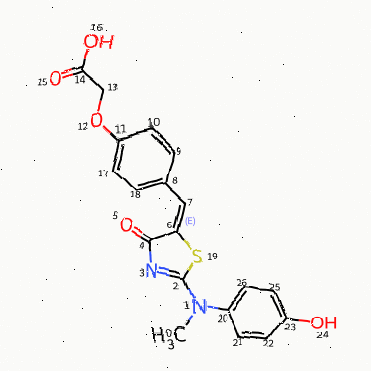 CN(C1=NC(=O)/C(=C\c2ccc(OCC(=O)O)cc2)S1)c1ccc(O)cc1